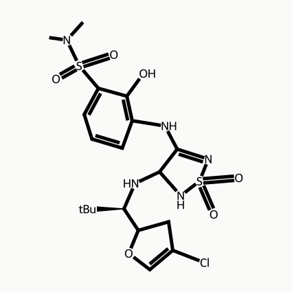 CN(C)S(=O)(=O)c1cccc(NC2=NS(=O)(=O)NC2N[C@@H](C2CC(Cl)=CO2)C(C)(C)C)c1O